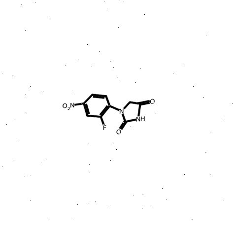 O=C1CN(c2ccc([N+](=O)[O-])cc2F)C(=O)N1